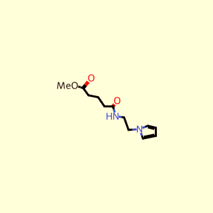 COC(=O)CCCC(=O)NCCn1cccc1